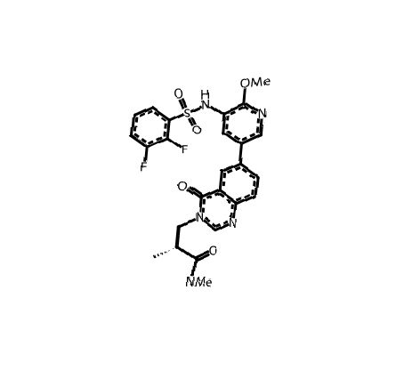 CNC(=O)[C@H](C)Cn1cnc2ccc(-c3cnc(OC)c(NS(=O)(=O)c4cccc(F)c4F)c3)cc2c1=O